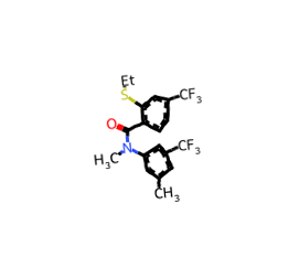 CCSc1cc(C(F)(F)F)ccc1C(=O)N(C)c1cc(C)cc(C(F)(F)F)c1